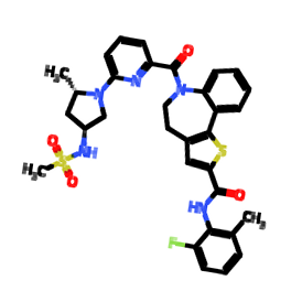 Cc1cccc(F)c1NC(=O)c1cc2c(s1)-c1ccccc1N(C(=O)c1cccc(N3C[C@@H](NS(C)(=O)=O)C[C@@H]3C)n1)CC2